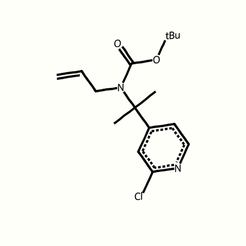 C=CCN(C(=O)OC(C)(C)C)C(C)(C)c1ccnc(Cl)c1